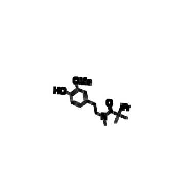 COc1cc(CCN(C)C(=O)C(C)(C)C(C)C)ccc1O